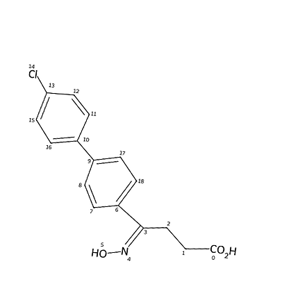 O=C(O)CC/C(=N/O)c1ccc(-c2ccc(Cl)cc2)cc1